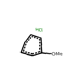 COc1c[c]ccc1.Cl